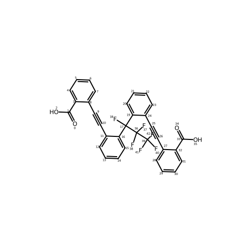 O=C(O)c1ccccc1C#Cc1ccccc1C(F)(c1ccccc1C#Cc1ccccc1C(=O)O)C(F)(F)C(F)(F)F